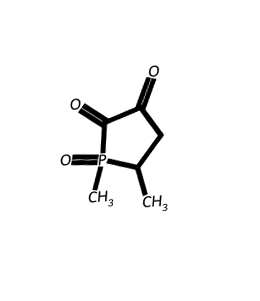 CC1CC(=O)C(=O)P1(C)=O